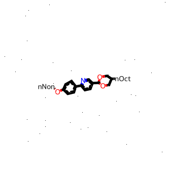 CCCCCCCCCOc1ccc(-c2ccc(C3OCC(CCCCCCCC)CO3)cn2)cc1